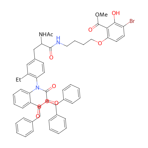 CCc1cc(CC(NC(C)=O)C(=O)NCCCCOc2ccc(Br)c(O)c2C(=O)OC)ccc1N(C(=O)C(=O)OCc1ccccc1)c1ccccc1C(=O)OC(c1ccccc1)c1ccccc1